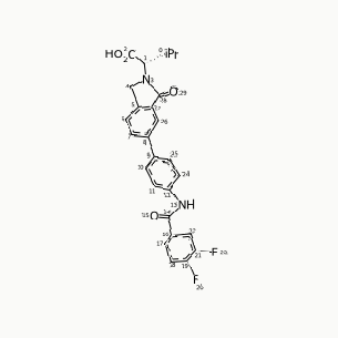 CC(C)[C@@H](C(=O)O)N1Cc2ccc(-c3ccc(NC(=O)c4ccc(F)c(F)c4)cc3)cc2C1=O